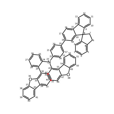 c1ccc2c(c1)CCC21c2ccccc2-c2ccc(-c3ccc(N(c4ccccc4-c4cccc5c4oc4ccccc45)c4cccc5oc6ccccc6c45)cc3)cc21